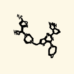 Cc1cc(C(O)N2CCN(Cc3cc4nc(-c5cccc6[nH]ncc56)nc(N5CCOCC5)c4s3)CC2)no1